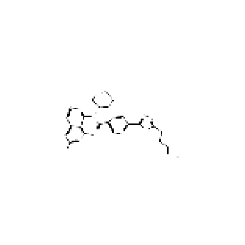 COCCCc1nnc(-c2ccc(C(=O)N(c3nccc4cc(C)cc(C)c34)[C@@H]3CCCNC3)cn2)s1